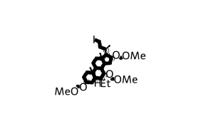 CC[C@H]1[C@@H](OCOC)C2C3C[C@H](OCOC)[C@H]([C@H](C)CCI)[C@@]3(C)CCC2[C@@]2(C)CC[C@@H](OCOC)C[C@@H]12